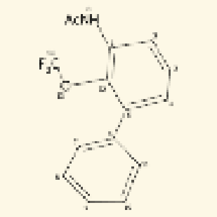 CC(=O)Nc1cccc(-c2ccccc2)c1OC(F)(F)F